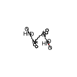 COCCCNC(=O)CCCCCN1/C(=C/C=C/C=C/C=C/C2=[N+](CCCCCC(=O)NCCCOC)c3ccc4ccccc4c3C2(C)C)C(C)(C)c2c1ccc1ccccc21